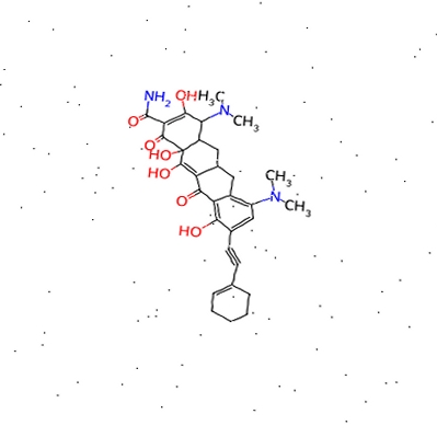 CN(C)c1cc(C#CC2=CCCCC2)c(O)c2c1CC1CC3C(N(C)C)C(O)=C(C(N)=O)C(=O)C3(O)C(O)=C1C2=O